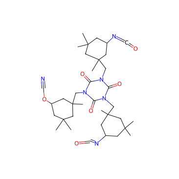 CC1(C)CC(N=C=O)CC(C)(Cn2c(=O)n(CC3(C)CC(N=C=O)CC(C)(C)C3)c(=O)n(CC3(C)CC(OC#N)CC(C)(C)C3)c2=O)C1